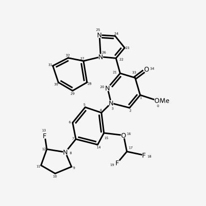 COc1cn(-c2ccc(N3CCCC3F)cc2OC(F)F)nc(-c2ccnn2-c2ccccc2)c1=O